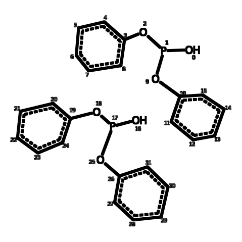 OP(Oc1ccccc1)Oc1ccccc1.OP(Oc1ccccc1)Oc1ccccc1